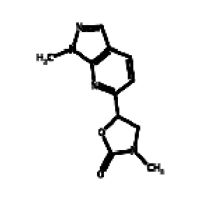 CN1CC(c2ccc3cnn(C)c3n2)OC1=O